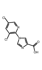 O=C(O)c1cn(-c2ncc(Cl)cc2Cl)cn1